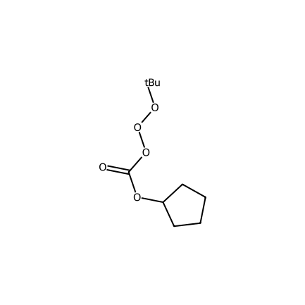 CC(C)(C)OOOC(=O)OC1CCCC1